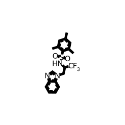 Cc1cc(C)c(S(=O)(=O)NC(Cn2cnc3ccccc32)C(F)(F)F)c(C)c1